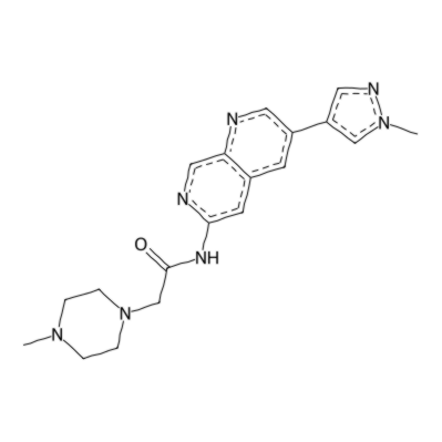 CN1CCN(CC(=O)Nc2cc3cc(-c4cnn(C)c4)cnc3cn2)CC1